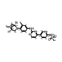 Cc1cc(Nc2nccc(-c3ccc(NS(C)(=O)=O)nc3)n2)ccc1N1C[C@@H]2C[C@H]1CN2C